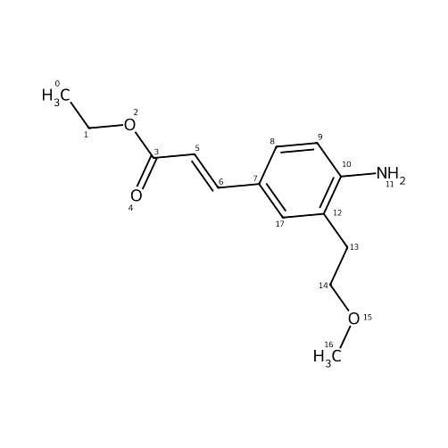 CCOC(=O)/C=C/c1ccc(N)c(CCOC)c1